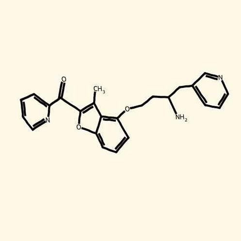 Cc1c(C(=O)c2ccccn2)oc2cccc(OCCC(N)Cc3cccnc3)c12